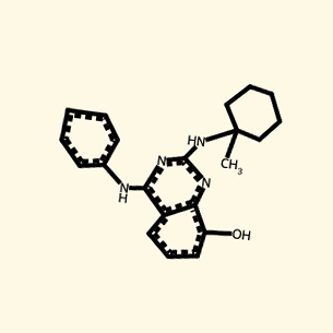 CC1(Nc2nc(Nc3ccccc3)c3cccc(O)c3n2)CCCCC1